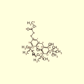 COC(=O)CCc1cc(Cc2cc(C(C)(C)C)cc(C(C)(C)C)c2O)c(O)c(C(C)(C)C)c1